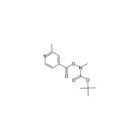 Cc1cc(C(=O)ON(C)C(=O)OC(C)(C)C)ccn1